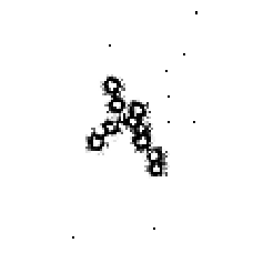 c1ccc(-c2ccc(N(c3ccc(-c4ccccc4)cc3)c3cc4c5ccc(-c6ccc7ccccc7c6)cc5oc4c4ccccc34)cc2)cc1